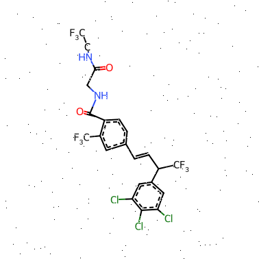 O=C(CNC(=O)c1ccc(/C=C/C(c2cc(Cl)c(Cl)c(Cl)c2)C(F)(F)F)cc1C(F)(F)F)NCC(F)(F)F